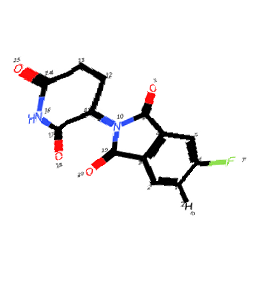 [2H]c1cc2c(cc1F)C(=O)N(C1CCC(=O)NC1=O)C2=O